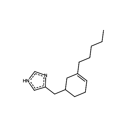 CCCCCC1=CCCC(Cc2c[nH]cn2)C1